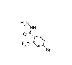 NNC(=O)c1ccc(Br)cc1C(F)(F)F